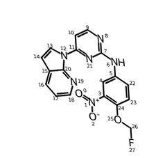 O=[N+]([O-])c1cc(Nc2nccc(-n3ccc4cccnc43)n2)ccc1OCF